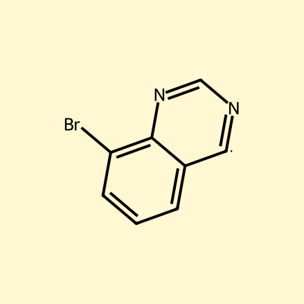 Brc1cccc2[c]ncnc12